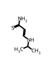 CC(C)N/C=C/C(N)=S